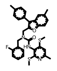 CSc1cc(C)nc(SC)c1NC(=O)N(Cc1ccccc1F)Cc1oc2ccc(C)cc2c1-c1ccc(C)cc1